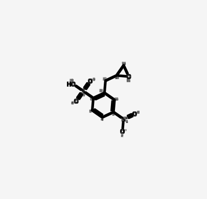 O=[N+]([O-])c1ccc(S(=O)(=O)O)c(CC2CO2)c1